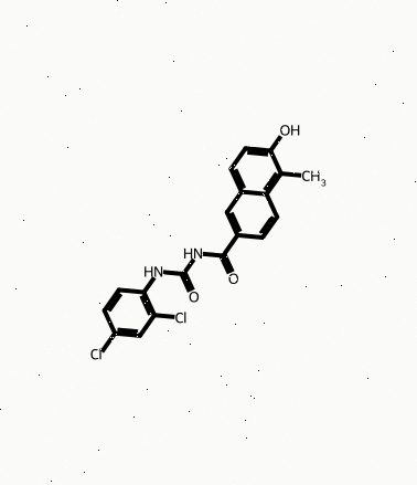 Cc1c(O)ccc2cc(C(=O)NC(=O)Nc3ccc(Cl)cc3Cl)ccc12